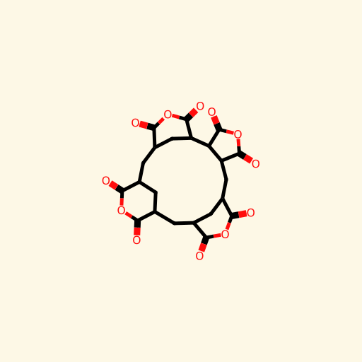 O=C1OC(=O)C2CC1CC1CC(CC3C(=O)OC(=O)C3C3CC(C2)C(=O)OC3=O)C(=O)OC1=O